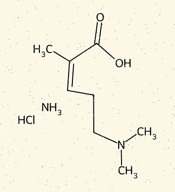 CC(=CCCN(C)C)C(=O)O.Cl.N